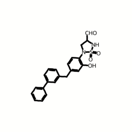 O=CC1CN(c2ccc(Cc3cccc(-c4ccccc4)c3)cc2O)S(=O)(=O)N1